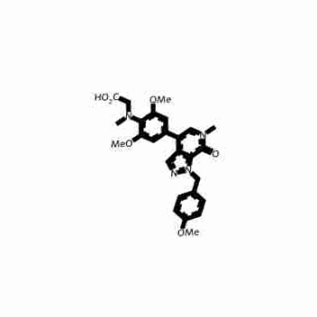 COc1ccc(Cn2ncc3c(-c4cc(OC)c(N(C)CC(=O)O)c(OC)c4)cn(C)c(=O)c32)cc1